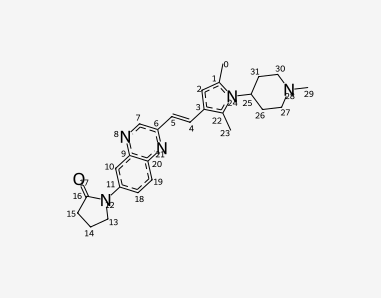 Cc1cc(C=Cc2cnc3cc(N4CCCC4=O)ccc3n2)c(C)n1C1CCN(C)CC1